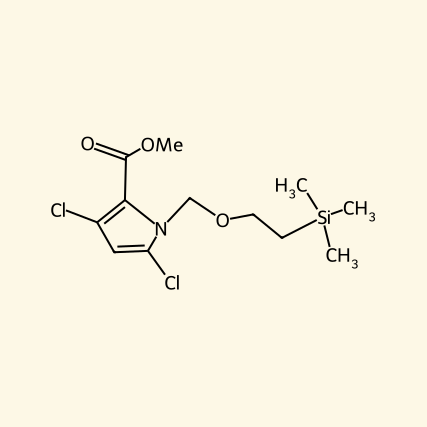 COC(=O)c1c(Cl)cc(Cl)n1COCC[Si](C)(C)C